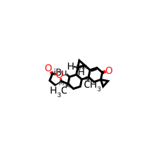 CCC(C)C1C2C(CC[C@]1(C)[C@H]1CCC(=O)O1)[C@@]1(C)CC3(CC3)C(=O)C=C1[C@H]1C[C@@H]21